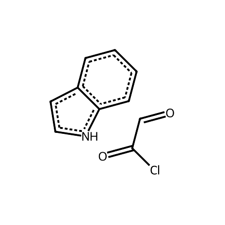 O=CC(=O)Cl.c1ccc2[nH]ccc2c1